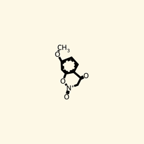 COc1ccc2c(c1)O[N+](=O)CC2=O